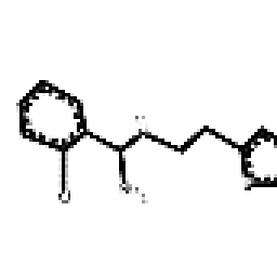 NC(NCCc1cccs1)c1ccccc1Cl